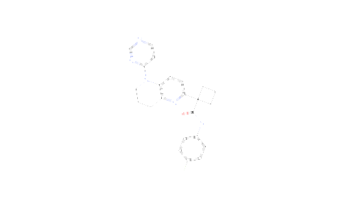 O=C(Nc1ccc(F)cc1)C1(c2ccc3c(n2)CCCN3c2ccncn2)CCC1